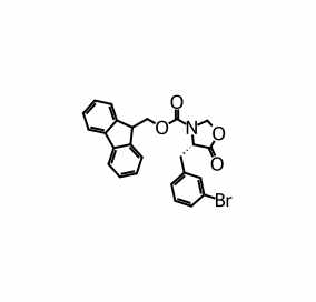 O=C1OCN(C(=O)OCC2c3ccccc3-c3ccccc32)[C@H]1Cc1cccc(Br)c1